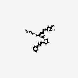 COCCOCc1cc(Nc2cc(C)[nH]n2)nc(N2CCCC2c2cc(-c3ccccn3)no2)n1